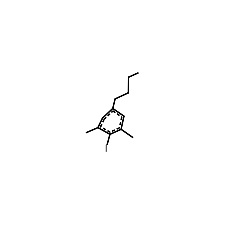 CCCCc1cc(C)c(I)c(C)c1